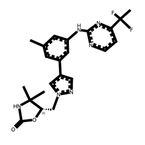 Cc1cc(Nc2nccc(C(C)(F)F)n2)cc(-c2cnn(C[C@@H]3OC(=O)NC3(C)C)c2)c1